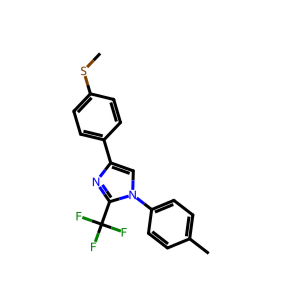 CSc1ccc(-c2cn(-c3ccc(C)cc3)c(C(F)(F)F)n2)cc1